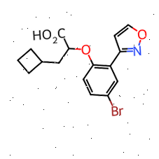 O=C(O)C(CC1CCC1)Oc1ccc(Br)cc1-c1ccon1